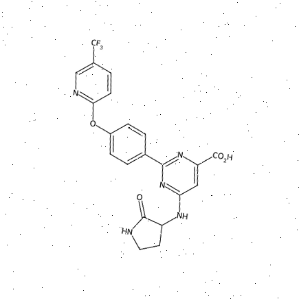 O=C(O)c1cc(NC2CCNC2=O)nc(-c2ccc(Oc3ccc(C(F)(F)F)cn3)cc2)n1